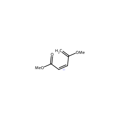 C=C(/C=C\C(=O)OC)OC